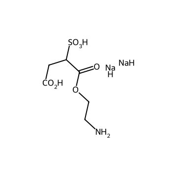 NCCOC(=O)C(CC(=O)O)S(=O)(=O)O.[NaH].[NaH]